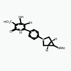 CCc1c(-c2ccc(N3C[C@@H]4C(NC)[C@@H]4C3)cc2)[nH]c(=O)c(C(=O)O)c1O